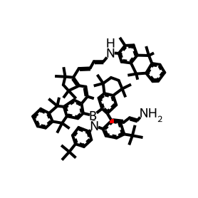 C/C(=C/C1=C(/C=C/C=C/Nc2cc3c(cc2C)C(C)(C)c2ccccc2C3(C)C)C(C)(C)CC1(C)C)c1cc2c(cc1B(c1cc3c(cc1/C=C\C=C\N)C(C)(C)CCC3(C)C)N(c1ccc(C(C)(C)C)cc1)c1ccc(C(C)(C)C)cc1)C(C)(C)c1ccccc1C2(C)C